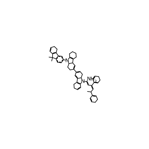 CC(/C=C(\C=C(/N)N1C2=C(CCC=C2)C2=CC(C3=CC4C5=C(CCCC5)N(c5ccc6c(c5)C5=C(C=CCC5)C6(C)C)C4CC3)=CCC21)C1=CCCC=C1)C1=CCCC=C1